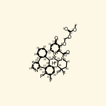 COC(=O)OCOc1c2n(ccc1=O)N([C@@H]1c3ccccc3-c3scnc3-c3c1ccc(F)c3F)[C@@H]1CC(F)(F)CCN1C2=O